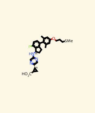 CSCCCOc1cc(C)c(-c2ccc(F)c3c2CC[C@H]3Nc2cnc([C@@H]3CC3C(=O)O)cn2)c(C)c1